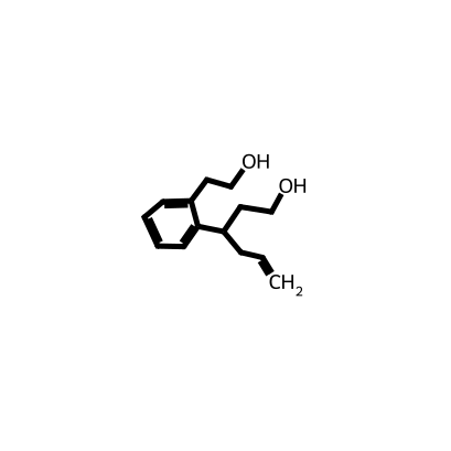 C=CC[C](CCO)c1ccccc1CCO